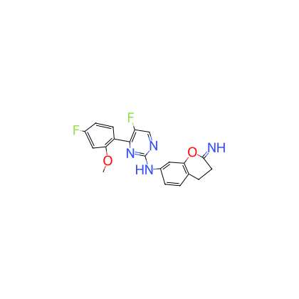 COc1cc(F)ccc1-c1nc(Nc2ccc3c(c2)OC(=N)CC3)ncc1F